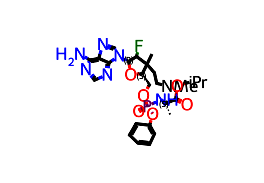 CNCCC1(C)C(F)[C@H](n2cnc3c(N)ncnc32)O[C@@H]1COP(=O)(N[C@@H](C)C(=O)OC(C)C)Oc1ccccc1